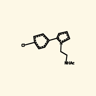 CC(=O)NCCn1cccc1-c1ccc(Cl)cc1